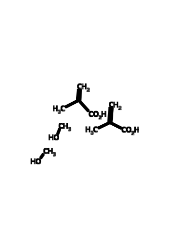 C=C(C)C(=O)O.C=C(C)C(=O)O.CO.CO